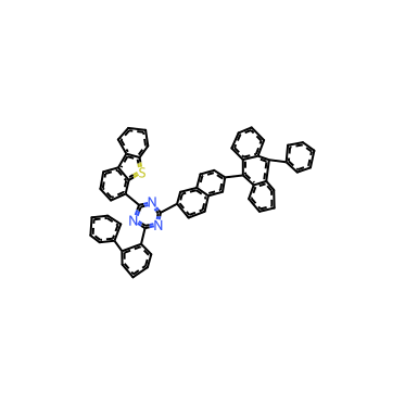 c1ccc(-c2ccccc2-c2nc(-c3ccc4cc(-c5c6ccccc6c(-c6ccccc6)c6ccccc56)ccc4c3)nc(-c3cccc4c3sc3ccccc34)n2)cc1